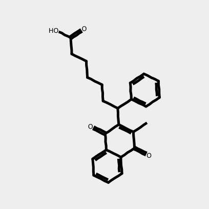 CC1=C(C(CCCCCC(=O)O)c2ccccc2)C(=O)c2ccccc2C1=O